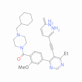 C=C(N)/C=C\C(C#Cc1c(CC)ncnc1-c1ccc(C(=O)N2CCN(CC3CCCCC3)CC2)c(OC)c1)=C/N